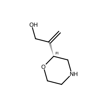 C=C(CO)[C@@H]1CNCCO1